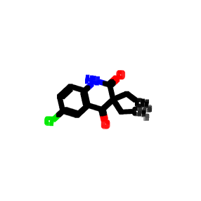 CCC1(CC)C(=O)Nc2ccc(Cl)cc2C1=O